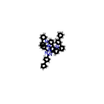 c1ccc(-c2ccc(-c3nc(-c4ccccc4)nc(-c4ccccc4-n4c5cccc(-n6c7ccccc7c7cc(-c8ccccc8)ccc76)c5c5cccc(-n6c7ccccc7c7ccccc76)c54)n3)cc2)cc1